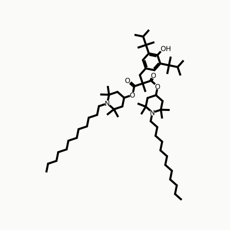 CCCCCCCCCCCCN1C(C)(C)CC(OC(=O)C(C)(Cc2cc(C(C)(C)C(C)C)c(O)c(C(C)(C)C(C)C)c2)C(=O)OC2CC(C)(C)N(CCCCCCCCCCCC)C(C)(C)C2)CC1(C)C